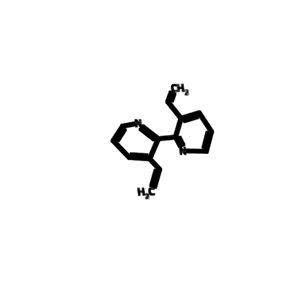 C=Cc1cccnc1-c1ncccc1C=C